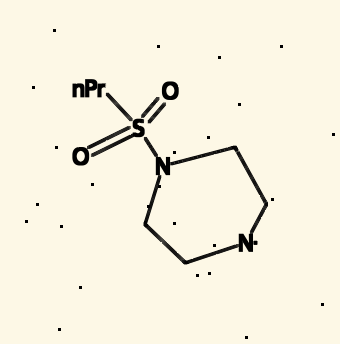 CCCS(=O)(=O)N1CC[N]CC1